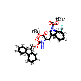 CC(C)(C)OC(=O)C(Cc1cn(C(=O)OC(C)(C)C)c2c(F)cccc12)NC(=O)OCC1c2ccccc2-c2ccccc21